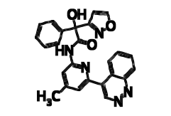 Cc1cc(NC(=O)C(O)(c2ccccc2)c2ccon2)nc(-c2cnnc3ccccc23)c1